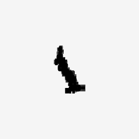 C=CCCCOc1ccc(OC(=O)C2CCC(c3ccc(C4CCC(C(O)CCC)CC4)c(F)c3F)CC2)cc1F